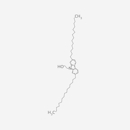 CCCCCCCCCCCCCCCCc1ccc2c3ccc(CCCCCCCCCCCCCCCC)cc3n(CCO)c2c1